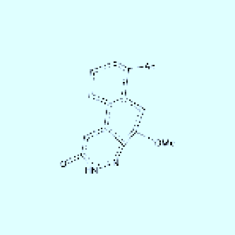 COc1cc2c(C(C)=O)cccc2c2cc(=O)[nH]nc12